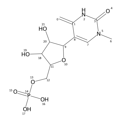 C=C1NC(=O)N(C)C=C1C1OC(COP(=O)(O)O)C(O)C1O